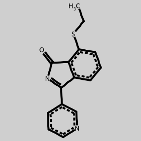 CCSc1cccc2c1C(=O)N=C2c1cccnc1